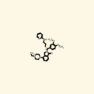 CCN1CCN(c2cccc3c2CN([C@H](CCCNc2ccccn2)c2ccc(OC)c(OC)c2)C3=O)CC1